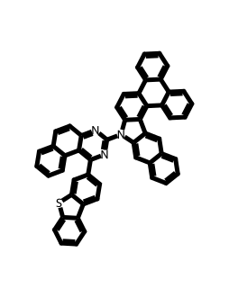 c1ccc2cc3c(cc2c1)c1c2c4ccccc4c4ccccc4c2ccc1n3-c1nc(-c2ccc3c(c2)sc2ccccc23)c2c(ccc3ccccc32)n1